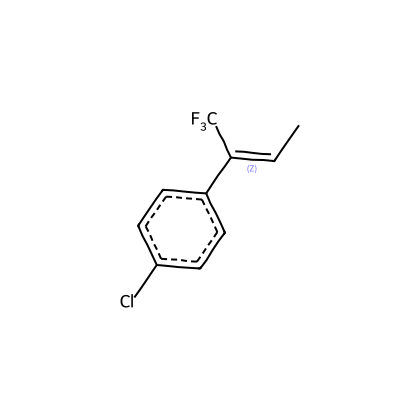 C/C=C(/c1ccc(Cl)cc1)C(F)(F)F